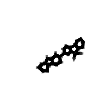 O=S1(=O)c2ccccc2-c2ccc(-c3ccc4c(n3)sc3ccccc34)cc21